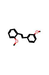 COc1cccc(C=Cc2ccccc2OC)c1